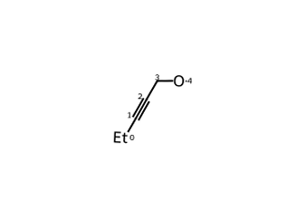 [CH2]CC#CC[O]